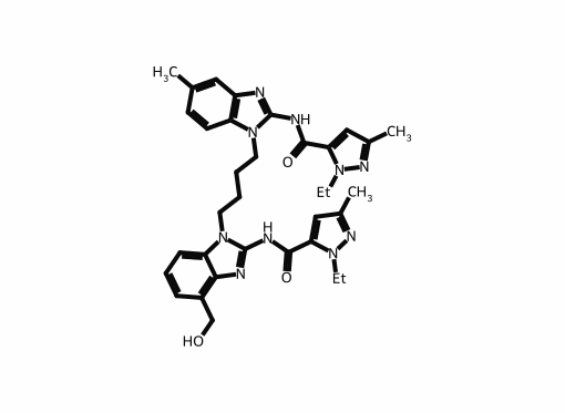 CCn1nc(C)cc1C(=O)Nc1nc2cc(C)ccc2n1CCCCn1c(NC(=O)c2cc(C)nn2CC)nc2c(CO)cccc21